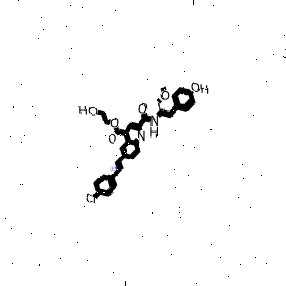 COC[C@H](Cc1ccc(O)cc1)NC(=O)c1cc(C(=O)OCCO)c2cc(/C=C/c3ccc(Cl)cc3)ccc2n1